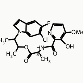 COc1ccnc(C(=O)N[C@@H](C)C(=O)OC(C)C(C)n2ccc3cc(F)c(Cl)cc32)c1O